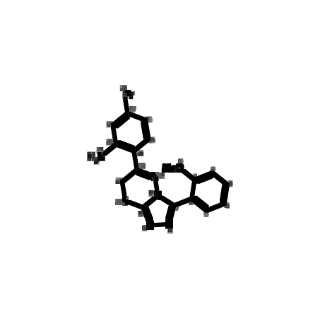 COc1ccccc1-c1nnc2n1N=C(c1ccc(C(C)C)cc1N)CS2